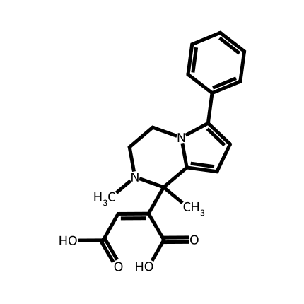 CN1CCn2c(-c3ccccc3)ccc2C1(C)C(=CC(=O)O)C(=O)O